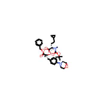 CN(C(=O)OC(C)(C)C)[C@@H](CCC1CC1)C(=O)O[C@H](Cc1ccc(N2CCOCC2)cc1)C(=O)OCc1ccccc1